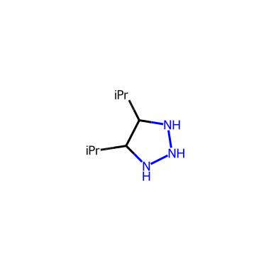 CC(C)C1NNNC1C(C)C